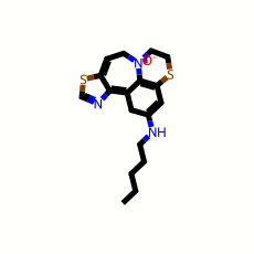 CCCCCNC1=CC2=C3C(=c4ncsc4=CC[N+]3([O-])CCS2)C1